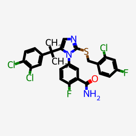 CC(C)(c1ccc(Cl)c(Cl)c1)c1cnc(SCc2ccc(F)cc2Cl)n1-c1ccc(F)c(C(N)=O)c1